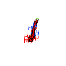 O=C(CCCCCn1cc(COCCOCCF)nn1)NCCCCCC(=O)NCCCNc1ncnc2c1ncn2[C@H]1C[C@H](O)[C@@H](COP(=O)(O)OP(=O)(O)OC[C@H]2OC[C@H](O)[C@@H]2O)O1